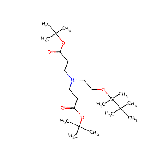 CC(C)(C)OC(=O)CCN(CCO[Si](C)(C)C(C)(C)C)CCC(=O)OC(C)(C)C